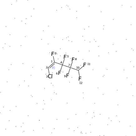 F/C(=C/Cl)C(F)(F)C(F)(F)C(F)F